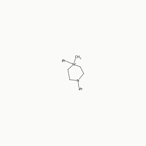 CC(C)N1CC[N+](C)(C(C)C)CC1